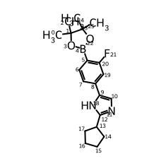 CC1(C)OB(c2ccc(-c3cnc(C4CCCC4)[nH]3)cc2F)OC1(C)C